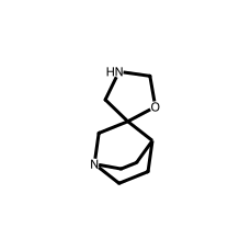 C1NCC2(CN3CCC2CC3)O1